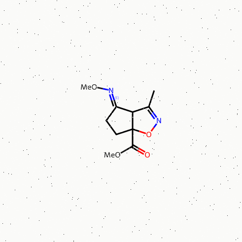 CO/N=C1\CCC2(C(=O)OC)ON=C(C)C12